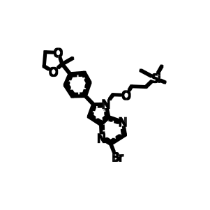 CC1(c2ccc(-c3cc4nc(Br)cnc4n3COCC[Si](C)(C)C)cc2)OCCO1